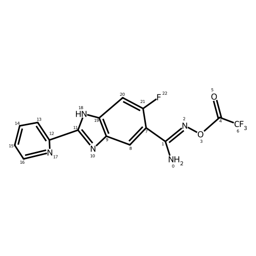 NC(=NOC(=O)C(F)(F)F)c1cc2nc(-c3ccccn3)[nH]c2cc1F